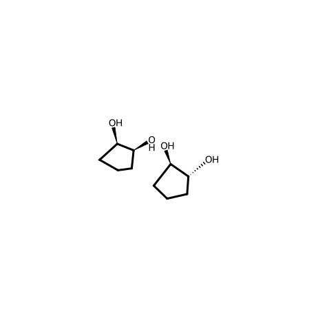 O[C@@H]1CCC[C@@H]1O.O[C@@H]1CCC[C@H]1O